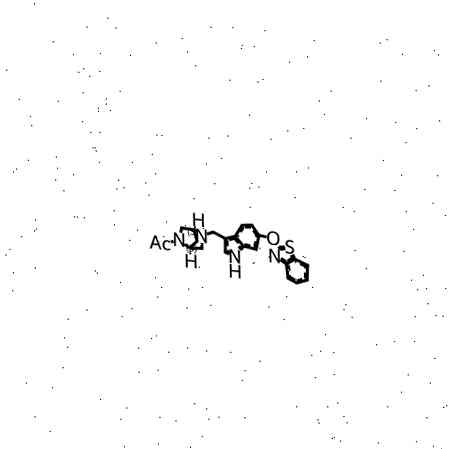 CC(=O)N1C[C@@H]2C[C@H]1CN2Cc1c[nH]c2cc(Oc3nc4ccccc4s3)ccc12